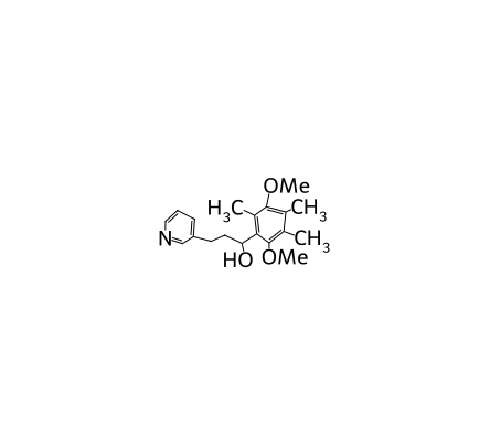 COc1c(C)c(C)c(OC)c(C(O)CCc2cccnc2)c1C